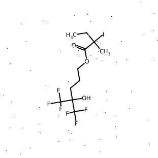 CCC(C)(I)C(=O)OCCCC(O)(C(F)(F)F)C(F)(F)F